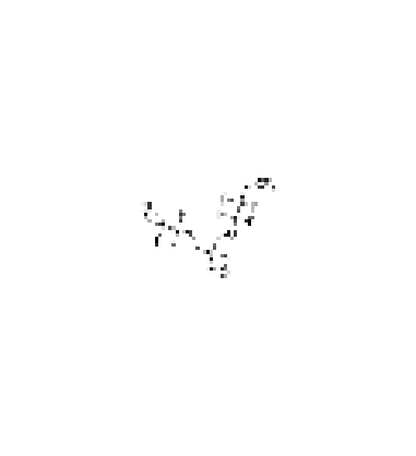 FC(F)(F)CC(F)(F)C(F)(F)OCC1(COC(F)(F)C(F)(F)CC(F)(F)F)COC1